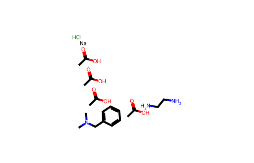 CC(=O)O.CC(=O)O.CC(=O)O.CC(=O)O.CN(C)Cc1ccccc1.Cl.NCCN.[Na]